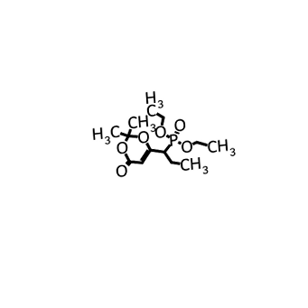 CCOP(=O)(OCC)C(CC)C1=CC(=O)OC(C)(C)O1